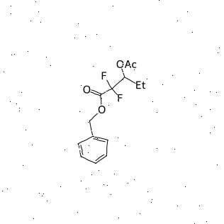 CCC(OC(C)=O)C(F)(F)C(=O)OCc1ccccc1